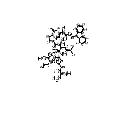 C=CC[C@H](NC(=O)[C@H](CCCNC(=N)N)NC(=O)[C@H](CC=C(C)C)NC(=O)C1CCCN1C(=O)[C@H](CC=C)NC(=O)OCC1c2ccccc2-c2ccccc21)C(=O)O